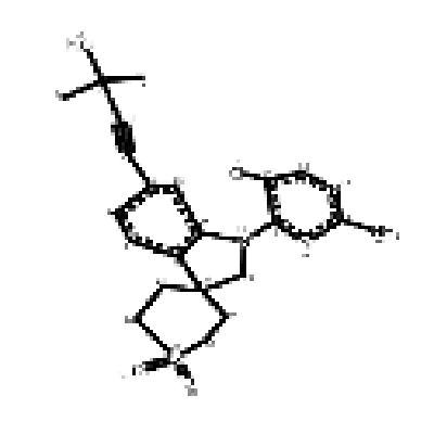 CC(C)(O)C#Cc1ccc2c(c1)N(c1nc(N)ncc1Cl)CC21CCS(=O)(=O)CC1